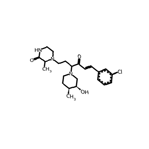 CC1C(=O)NCCN1CCC(C(=O)/C=C/c1cccc(Cl)c1)N1CC[C@H](C)[C@H](O)C1